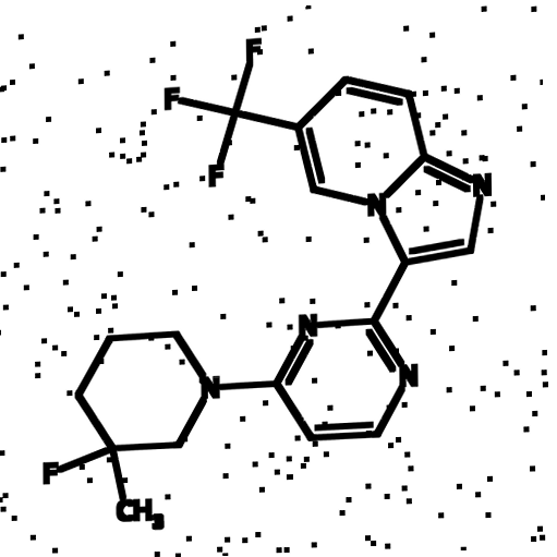 CC1(F)CCCN(c2ccnc(-c3cnc4ccc(C(F)(F)F)cn34)n2)C1